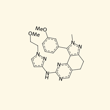 COCCn1ccc(Nc2ncc3c(n2)-c2c(nn(C)c2-c2cccc(OC)c2)CC3)n1